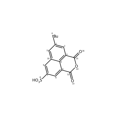 CC(C)(C)c1cc2c3c(cc(S(=O)(=O)O)cc3c1)C(=O)OC2=O